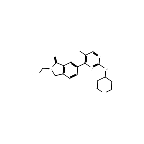 O=C(O)CN1Cc2ccc(-c3nc(NC4CCOCC4)ncc3Cl)cc2C1=O